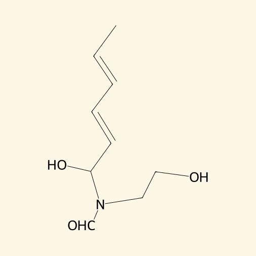 CC=CC=CC(O)N(C=O)CCO